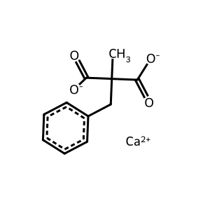 CC(Cc1ccccc1)(C(=O)[O-])C(=O)[O-].[Ca+2]